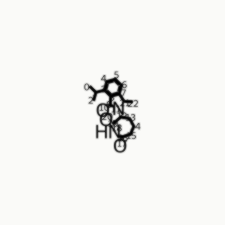 CC(C)c1cccc2c1C(=O)N(C1CCCC(=O)NC1=O)C2C